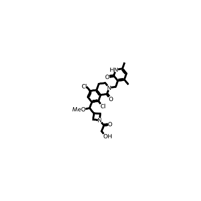 COC(c1cc(Cl)c2c(c1Cl)C(=O)N(Cc1c(C)cc(C)[nH]c1=O)CC2)C1CN(C(=O)CO)C1